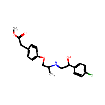 COC(=O)Cc1ccc(OCC(C)NCC(O)c2ccc(Cl)cc2)cc1